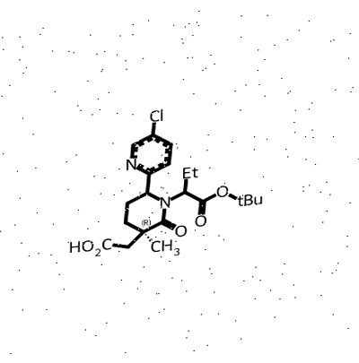 CCC(C(=O)OC(C)(C)C)N1C(=O)[C@@](C)(CC(=O)O)CCC1c1ccc(Cl)cn1